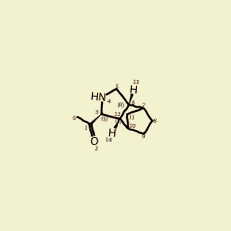 CC(=O)[C@H]1NC[C@@H]2C3CCC(C3)[C@H]12